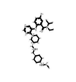 CCN(C(=O)c1cc(F)ccc1Oc1cncnc1N1CCC[C@H](CNC[C@H]2CC[C@H](NSC)CC2)C1)C(C)C